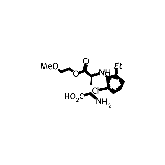 CCc1cccc(Cl)c1N[C@@H](C)C(=O)OCCOC.NCC(=O)O